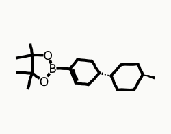 CC1(C)OB(C2=CCC([C@H]3CC[C@H](C)CC3)CC2)OC1(C)C